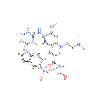 COc1cc(N(C)CCN(C)C)c(C=CC(=O)NC=O)cc1Nc1nccc(-n2ccc3cc([N+](=O)[O-])ccc32)n1